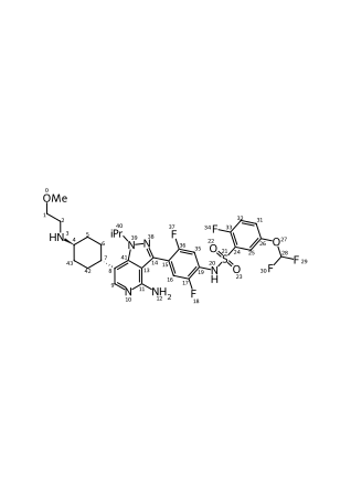 COCCN[C@H]1CC[C@H](c2cnc(N)c3c(-c4cc(F)c(NS(=O)(=O)c5cc(OC(F)F)ccc5F)cc4F)nn(C(C)C)c32)CC1